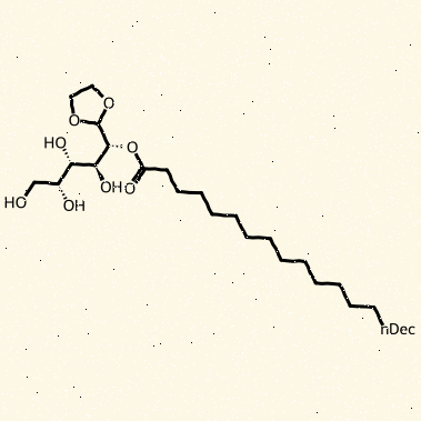 CCCCCCCCCCCCCCCCCCCCCCCC(=O)O[C@@H](C1OCCO1)[C@@H](O)[C@@H](O)[C@H](O)CO